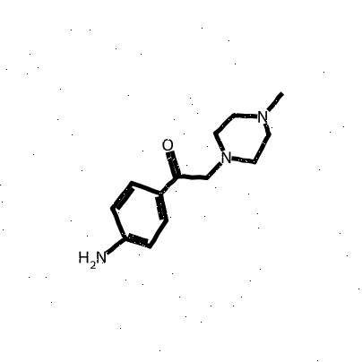 CN1CCN(CC(=O)c2ccc(N)cc2)CC1